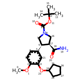 COc1ccc([C@@H]2CN(C(=O)OC(C)(C)C)C[C@H]2C(N)=O)cc1OC1CCCC1